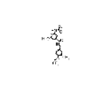 CCC(=O)Nc1cc(C(=O)NCc2ccc(OCC(F)(F)F)c(C)c2)cc(C)n1